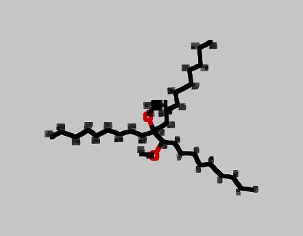 CCCCCCCCCC(OC)C(CCCCCCCCC)(CCCCCCCCC)O[SiH3]